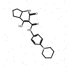 O=C(Nc1ccc(N2CCCCC2)cc1)C1=C(O)C2CCCC2NC1=O